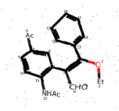 CCO/C(=C(\C=O)c1cc(C(C)=O)ccc1NC(C)=O)c1ccccc1